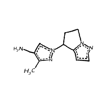 Cc1nn(C2CCn3nccc32)cc1N